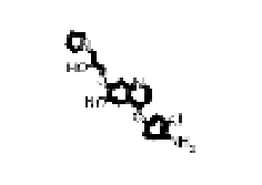 N#Cc1cc2c(Oc3ccc(N)c(Cl)c3)ccnc2cc1OC[C@H](O)CN1CCCC1